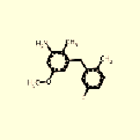 COc1cc(N)c(C)c(Cc2cc(F)ccc2C)c1